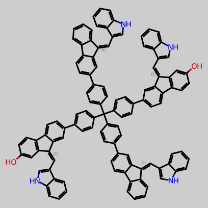 Oc1ccc2c(c1)/C(=C\c1c[nH]c3ccccc13)c1cc(-c3ccc(C(c4ccc(-c5ccc6c(c5)/C(=C/c5c[nH]c7ccccc57)c5cc(O)ccc5-6)cc4)(c4ccc(-c5ccc6c(c5)/C(=C/c5c[nH]c7ccccc57)c5ccccc5-6)cc4)c4ccc(-c5ccc6c(c5)/C(=C/c5c[nH]c7ccccc57)c5ccccc5-6)cc4)cc3)ccc1-2